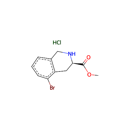 COC(=O)[C@H]1Cc2c(Br)cccc2CN1.Cl